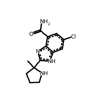 CC1(c2nc3c(C(N)=O)cc(Cl)cc3[nH]2)CCCN1